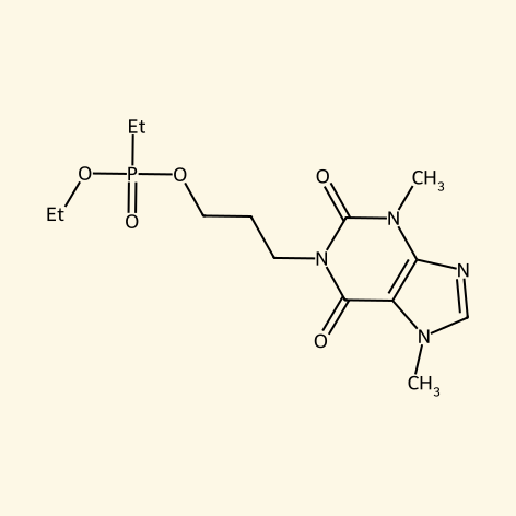 CCOP(=O)(CC)OCCCn1c(=O)c2c(ncn2C)n(C)c1=O